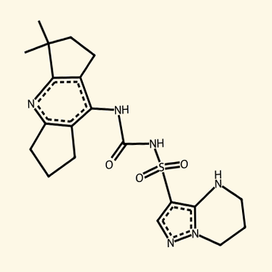 CC1(C)CCc2c1nc1c(c2NC(=O)NS(=O)(=O)c2cnn3c2NCCC3)CCC1